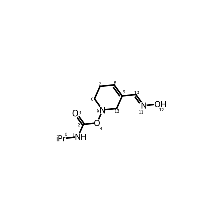 CC(C)NC(=O)ON1CCC=C(C=NO)C1